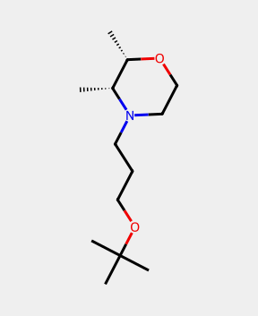 C[C@@H]1OCCN(CCCOC(C)(C)C)[C@@H]1C